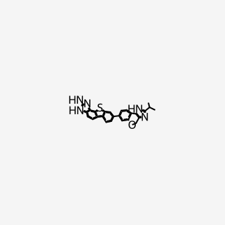 CNc1nc2c(ccc3c4ccc(-c5ccc6c(c5)OCc5nc(C(C)C)[nH]c5-6)cc4sc32)[nH]1